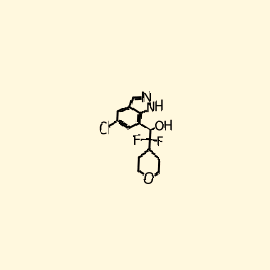 OC(c1cc(Cl)cc2cn[nH]c12)C(F)(F)C1CCOCC1